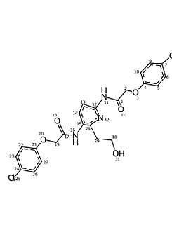 O=C(COc1ccc(Cl)cc1)Nc1ccc(NC(=O)COc2ccc(Cl)cc2)c(CCO)n1